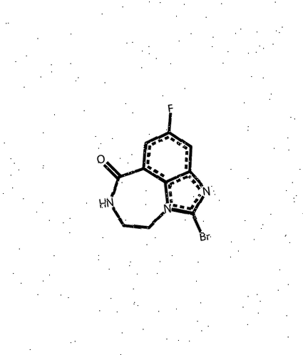 O=C1NCCn2c(Br)nc3cc(F)cc1c32